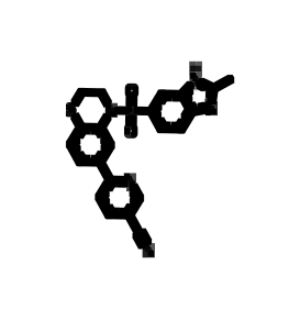 Cc1nc2ccc(S(=O)(=O)N3CCSc4ccc(-c5ccc(C#N)cn5)cc43)cc2[nH]1